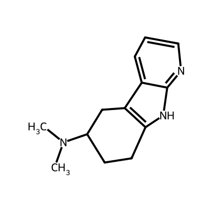 CN(C)C1CCc2[nH]c3ncccc3c2C1